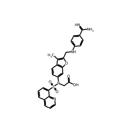 Cc1c(CNc2ccc(C(=N)N)cc2)oc2cc(N(CC(=O)O)S(=O)(=O)c3cccc4cccnc34)ccc12